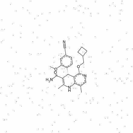 COc1cc(C#N)ccc1[C@H]1C(C(N)=O)=C(C)Nc2c(C)cnc(OCC3CCC3)c21